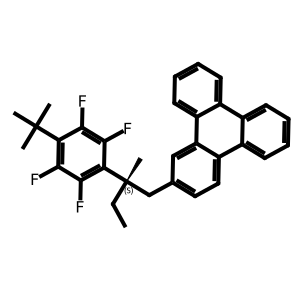 CC[C@@](C)(Cc1ccc2c3ccccc3c3ccccc3c2c1)c1c(F)c(F)c(C(C)(C)C)c(F)c1F